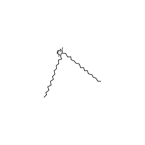 CCCCCCCCCCCCCCCCCC1N(C)C=CN1CCCCCCCCCCCCCCCC